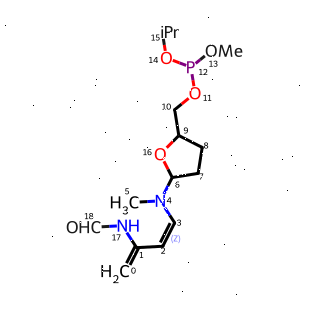 C=C(/C=C\N(C)C1CCC(COP(OC)OC(C)C)O1)NC=O